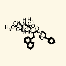 CC(C)(C)OC(=O)NC(C)(C)C(=O)NC(Cc1cccc2ccccc12)C(=O)N1CCC(c2ccccc2)CC1